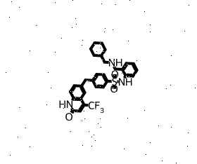 O=c1cc(C(F)(F)F)c2cc(Cc3ccc(S(=O)(=O)Nc4ccccc4CNCC4CCCCC4)cc3)ccc2[nH]1